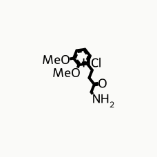 COc1cccc(CCC(=O)CN)c1OC.Cl